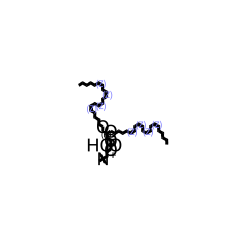 CCCCC/C=C\C/C=C\C/C=C\C/C=C\CCCCOC[C@H](COP(=O)(O)OCC[N+](C)(C)C)OCCCC/C=C\C/C=C\C/C=C\C/C=C\CCCCC